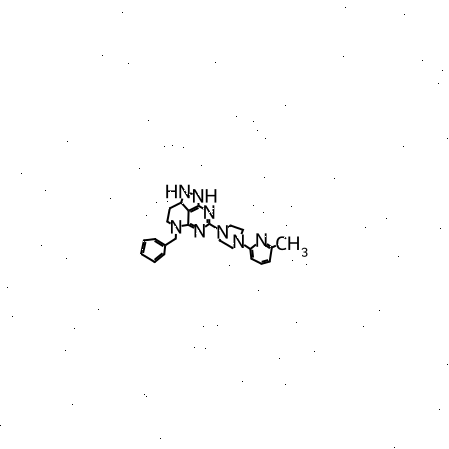 Cc1cccc(N2CCN(c3nc4c5c(n3)N(Cc3ccccc3)CCC5NN4)CC2)n1